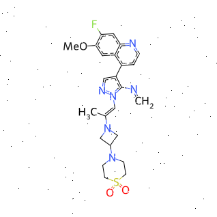 C=Nc1c(-c2ccnc3cc(F)c(OC)cc23)cnn1/C=C(\C)N1CC(N2CCS(=O)(=O)CC2)C1